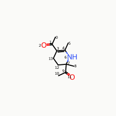 CC(=O)C1=C(C)NC(C)(C(C)=O)CC1